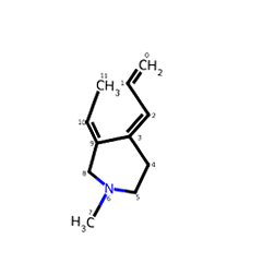 C=C/C=C1/CCN(C)C/C1=C/C